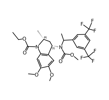 CCOC(=O)N1c2cc(OC)c(OC)cc2[C@@H](N(C(=O)OC)C(C)c2cc(C(F)(F)F)cc(C(F)(F)F)c2)C[C@H]1C